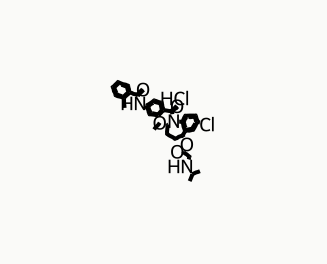 COc1cc(NC(=O)c2ccccc2C)ccc1C(=O)N1CCCC(OC(=O)CNC(C)C)c2cc(Cl)ccc21.Cl